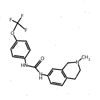 CN1CCc2ccc(NC(=O)Nc3ccc(OC(F)(F)F)cc3)cc2C1